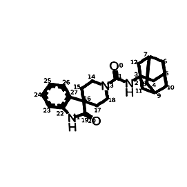 O=C(NC12CC3CC(CC(C3)C1)C2)N1CCC2(CC1)C(=O)Nc1ccccc12